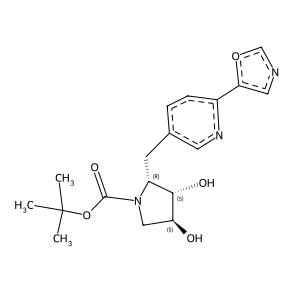 CC(C)(C)OC(=O)N1C[C@H](O)[C@@H](O)[C@H]1Cc1ccc(-c2cnco2)nc1